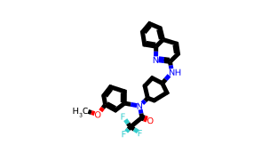 COc1cccc(N(C(=O)C(F)(F)F)C2CCC(Nc3ccc4ccccc4n3)CC2)c1